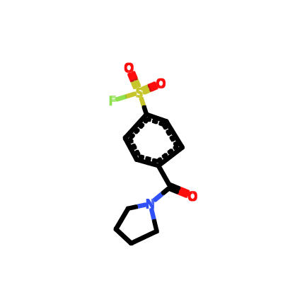 O=C(c1ccc(S(=O)(=O)F)cc1)N1CCCC1